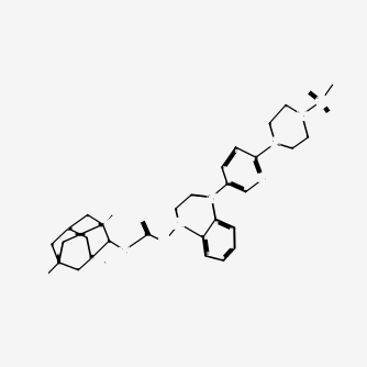 CS(=O)(=O)N1CCN(c2ccc(N3CCN(OC(=O)NC4[C@@H]5CC6C[C@H]4CC(O)(C6)C5)c4ccccc43)cn2)CC1